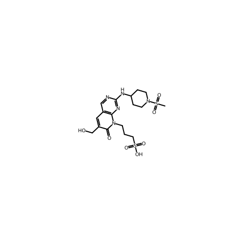 CS(=O)(=O)N1CCC(Nc2ncc3cc(CO)c(=O)n(CCCS(=O)(=O)O)c3n2)CC1